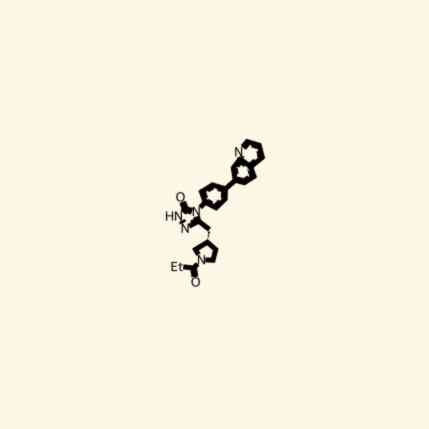 CCC(=O)N1CC[C@@H](Cc2n[nH]c(=O)n2-c2ccc(-c3ccc4cccnc4c3)cc2)C1